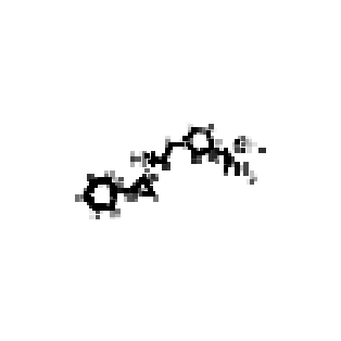 CN(C)[C@@H]1CCN(CCN[C@@H]2C[C@H]2c2ccccc2)C1